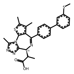 CSc1cccc(-c2ccc(C3=N[C@@H](C(C)C(=O)O)c4nnc(C)n4-c4sc(C)c(C)c43)cc2)c1